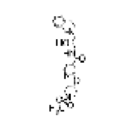 CS(=O)(=O)N1CCC(Oc2cc(C(=O)NC[C@H](O)CN3CCc4ccccc4C3)ccn2)CC1